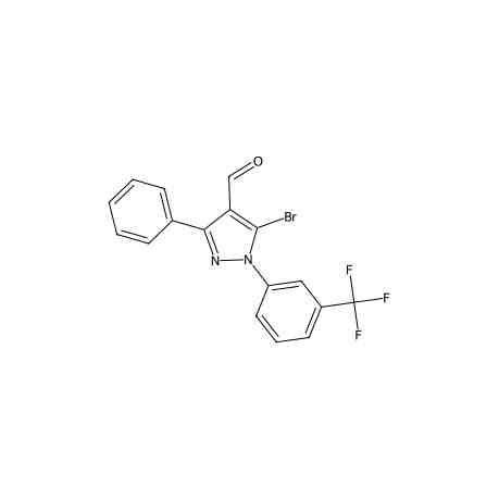 O=Cc1c(-c2ccccc2)nn(-c2cccc(C(F)(F)F)c2)c1Br